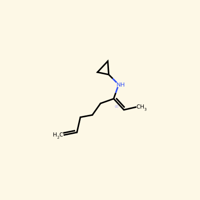 C=CCCC/C(=C/C)NC1CC1